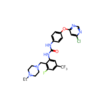 CCN1CCN(Cc2c(F)cc(C(F)(F)F)cc2NC(=O)Nc2ccc(Oc3cc(Cl)ncn3)cc2)CC1